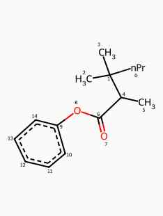 CCCC(C)(C)C(C)C(=O)Oc1ccccc1